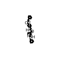 O=C(NCC1CCN(C(=O)OCc2ccccc2)CC1)c1ccnc(NCc2ccccc2)n1